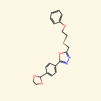 c1ccc(OCCSCc2nnc(-c3ccc(C4OCCO4)cc3)o2)cc1